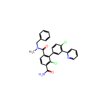 CN(Cc1ccccc1)C(=O)c1ccc(C(N)=O)c(Cl)c1-c1ccc(Cl)c(-c2ccccn2)c1